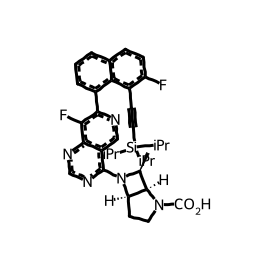 CC(C)[Si](C#Cc1c(F)ccc2cccc(-c3ncc4c(N5[C@@H]6CCN(C(=O)O)[C@@H]6[C@@H]5C)ncnc4c3F)c12)(C(C)C)C(C)C